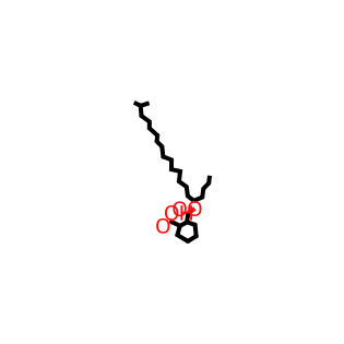 CCCCC(CCCCCCCCCCCCCC(C)C)OC(=O)C1CCCCC1C(=O)O